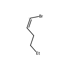 CCCC/C=[C]\Br